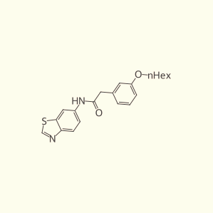 CCCCCCOc1cccc(CC(=O)Nc2ccc3ncsc3c2)c1